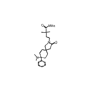 CNC(=O)C(C)(C)CCN1CC2(CCC(c3ccccc3)(N(C)C)CC2)CC1=O